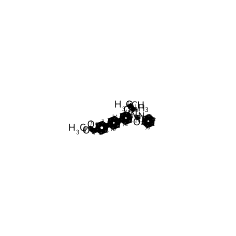 COC(=O)CC1CCC(c2ccc(-c3ccc4c(c3)OC(C)(C)CN4C(=O)Nc3ccccc3)cc2)CC1